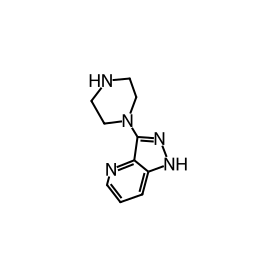 c1cnc2c(N3CCNCC3)n[nH]c2c1